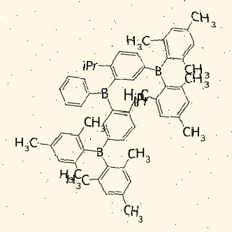 Cc1cc(C)c(B(c2ccc(C(C)C)c(B(c3ccccc3)c3cc(B(c4c(C)cc(C)cc4C)c4c(C)cc(C)cc4C)ccc3C(C)C)c2)c2c(C)cc(C)cc2C)c(C)c1